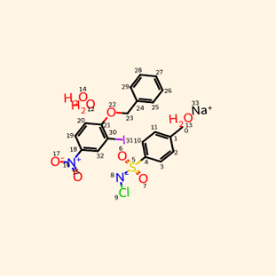 Cc1ccc(S(=O)(=O)[N-]Cl)cc1.O.O.O.O=[N+]([O-])c1ccc(OCc2ccccc2)c(I)c1.[Na+]